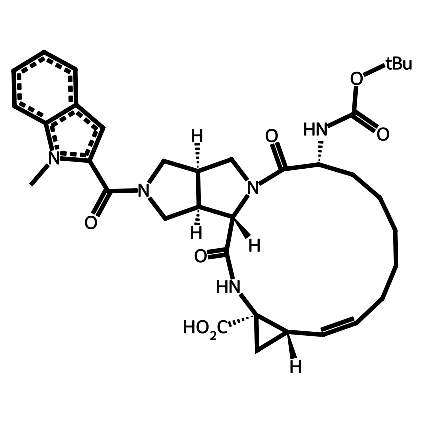 Cn1c(C(=O)N2C[C@H]3CN4C(=O)[C@H](NC(=O)OC(C)(C)C)CCCCC/C=C\[C@@H]5C[C@@]5(C(=O)O)NC(=O)[C@@H]4[C@H]3C2)cc2ccccc21